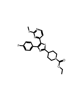 CCOC(=O)N1CCC(c2nc(-c3ccc(F)cc3)c(-c3ccnc(SC)n3)s2)CC1